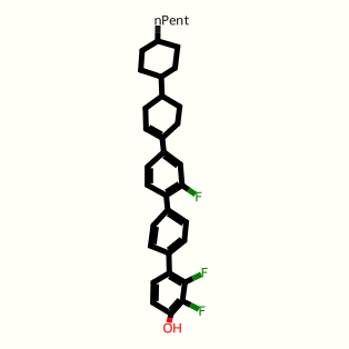 CCCCCC1CCC(C2CC=C(c3ccc(-c4ccc(-c5ccc(O)c(F)c5F)cc4)c(F)c3)CC2)CC1